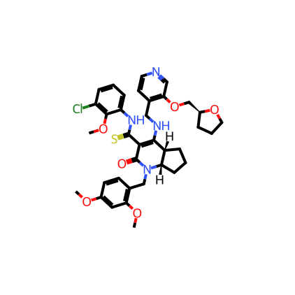 COc1ccc(CN2C(=O)C(C(=S)Nc3cccc(Cl)c3OC)=C(NCc3ccncc3OC[C@@H]3CCCO3)[C@@H]3CCC[C@@H]32)c(OC)c1